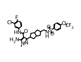 Cn1nc(C2CC3CC(CNS(=O)(=O)c4ccc(OC(F)(F)F)cc4)CC3C2)c(C(=O)Nc2ccc(F)c(Cl)c2)c1N